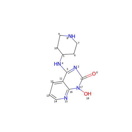 O=c1nc(NC2CCNCC2)c2cccnc2n1O